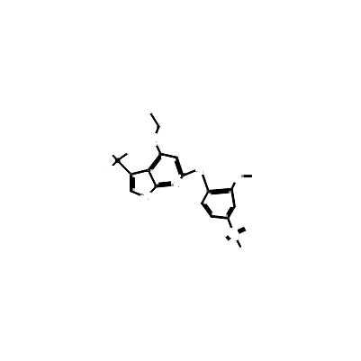 CCNc1cc(Nc2ccc(S(C)(=O)=O)cc2OC)nc2[nH]cc(C(F)(F)F)c12